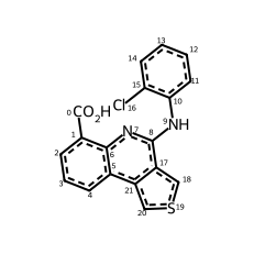 O=C(O)c1cccc2c1nc(Nc1ccccc1Cl)c1cscc12